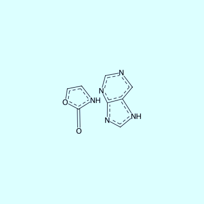 O=c1[nH]cco1.c1ncc2[nH]cnc2n1